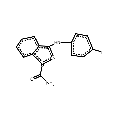 NC(=O)n1nc(Nc2ccc(F)cc2)c2c[c]ccc21